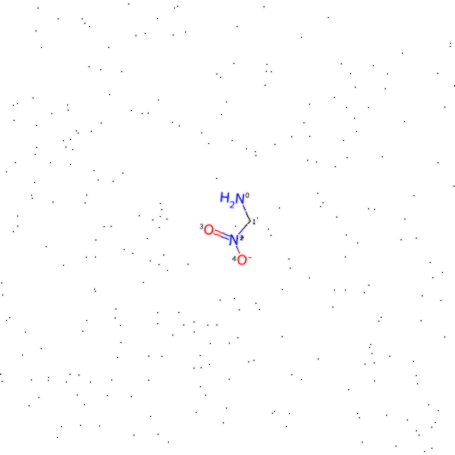 NC[N+](=O)[O-]